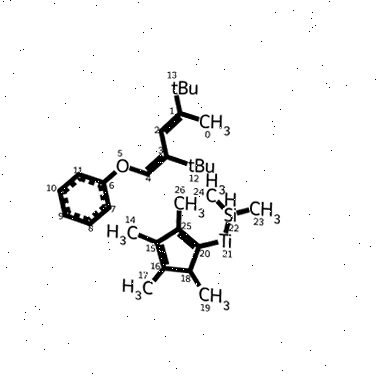 CC(=CC(=COc1ccccc1)C(C)(C)C)C(C)(C)C.CC1=C(C)C(C)[C]([Ti][SiH](C)C)=C1C